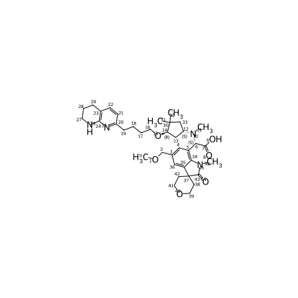 COCc1cc([C@@H](C(=O)O)N(C)[C@@H]2C[C@@H](OCCCCc3ccc4c(n3)NCCC4)C(C)(C)C2)c2c(c1)C1(CCOCC1)C(=O)N2C